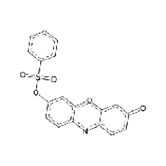 O=c1ccc2nc3ccc(OS(=O)(=O)c4ccccc4)cc3oc-2c1